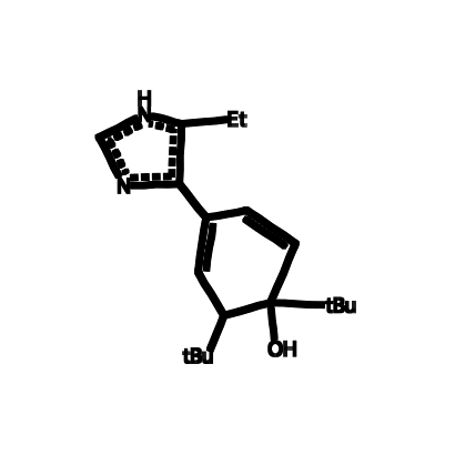 CCc1[nH]cnc1C1=CC(C(C)(C)C)C(O)(C(C)(C)C)C=C1